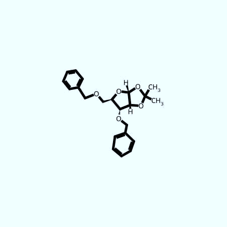 CC1(C)O[C@H]2O[C@H](COCc3ccccc3)[C@@H](OCc3ccccc3)[C@H]2O1